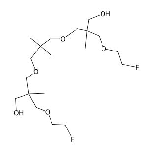 CC(C)(COCC(C)(CO)COCCF)COCC(C)(CO)COCCF